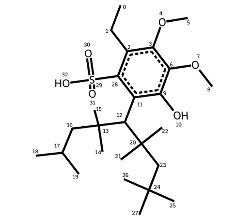 CCc1c(OC)c(OC)c(O)c(C(C(C)(C)CC(C)C)C(C)(C)CC(C)(C)C)c1S(=O)(=O)O